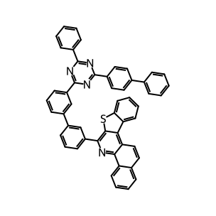 c1ccc(-c2ccc(-c3nc(-c4ccccc4)nc(-c4cccc(-c5cccc(-c6nc7c8ccccc8ccc7c7c6sc6ccccc67)c5)c4)n3)cc2)cc1